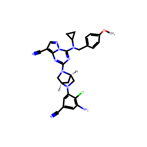 COc1ccc(CN(c2nc(N3C[C@H]4C[C@@H]3CN4c3cc(C#N)cc(N)c3Cl)nc3c(C#N)cnn23)C2CC2)cc1